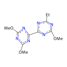 CCc1nc(OC)nc(-c2nc(OC)nc(OC)n2)n1